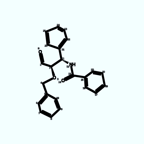 O=C[C@H](OCc1ccccc1)[C@@H](NC(=O)c1ccccc1)c1ccccc1